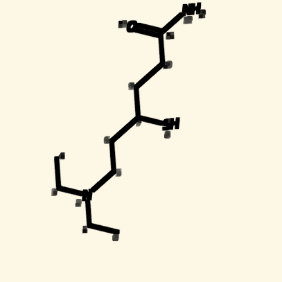 CCN(CC)CCC(S)CCC(N)=O